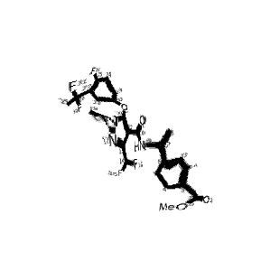 COC(=O)c1ccc(C(C)NC(=O)c2c(C(F)F)nn(C)c2Oc2ccc(F)c(C(C)(F)F)c2)cc1